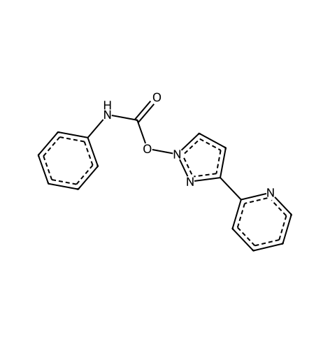 O=C(Nc1ccccc1)On1ccc(-c2ccccn2)n1